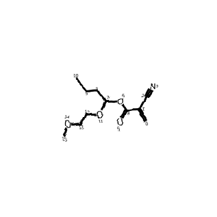 C=C(C#N)C(=O)OC(CCC)OCCOC